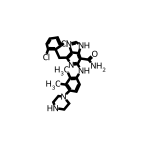 Cc1c(Nc2nc(Cc3c(Cl)cccc3Cl)c3nc[nH]c3c2C(N)=O)ccc(N2CCNCC2)c1C